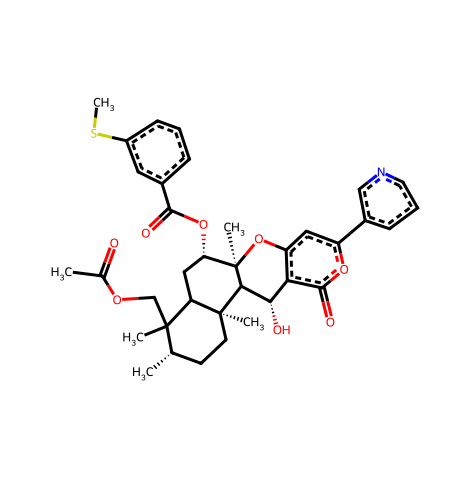 CSc1cccc(C(=O)O[C@H]2CC3C(C)(COC(C)=O)[C@@H](C)CC[C@]3(C)C3[C@@H](O)c4c(cc(-c5cccnc5)oc4=O)O[C@@]32C)c1